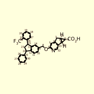 O=C(O)[C@H]1[C@@H]2Cc3cc(OCc4ccc5c(c4)C(c4ccccc4C(F)(F)F)CC5c4ccccc4)ncc3[C@@H]21